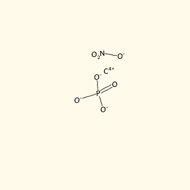 O=P([O-])([O-])[O-].O=[N+]([O-])[O-].[C+4]